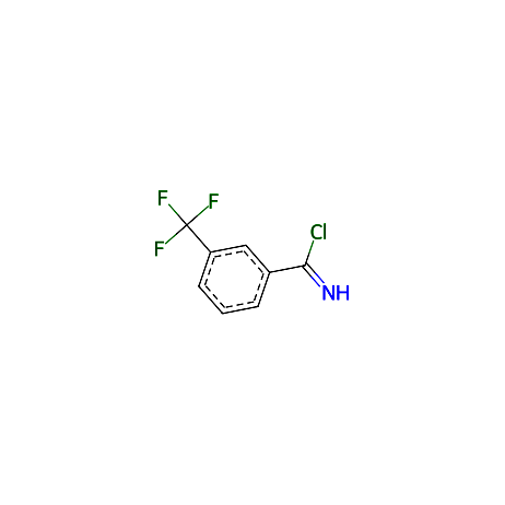 N=C(Cl)c1cccc(C(F)(F)F)c1